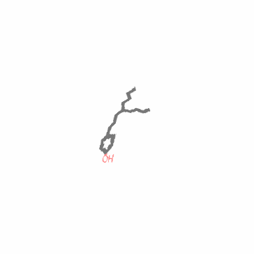 CCCCC(CCCC)CCCc1ccc(O)cc1